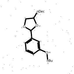 CCCCCCCCCCC1COC(c2cccc(OCCCC)c2)O1